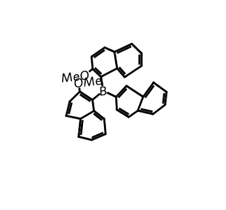 COc1ccc2ccccc2c1B(c1ccc2ccccc2c1)c1c(OC)ccc2ccccc12